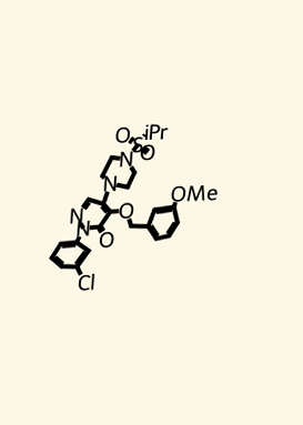 COc1cccc(COc2c(N3CCN(S(=O)(=O)C(C)C)CC3)cnn(-c3cccc(Cl)c3)c2=O)c1